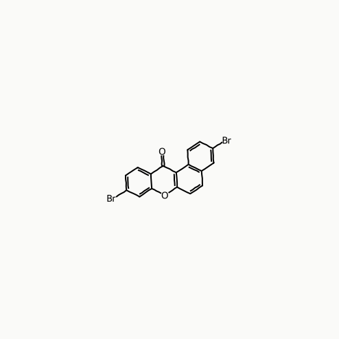 O=c1c2ccc(Br)cc2oc2ccc3cc(Br)ccc3c12